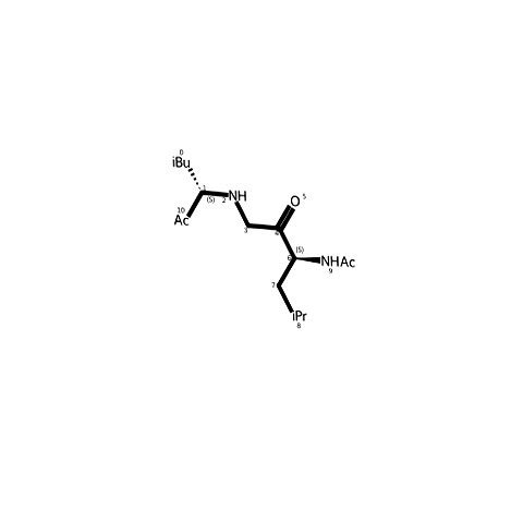 CCC(C)[C@H](NCC(=O)[C@H](CC(C)C)NC(C)=O)C(C)=O